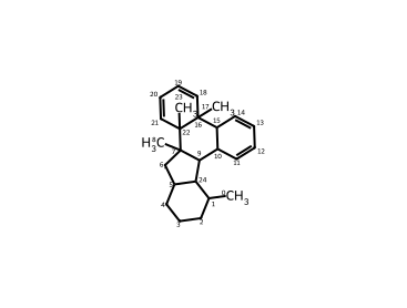 CC1CCCC2[CH]C3(C)C(C4C=CC=CC4C4(C)C=CC=CC34C)C12